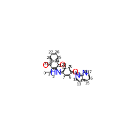 CC(C)C1=C(Nc2ccc(On3ccc4cccnc43)cc2)C(=O)c2ccccc2C1=O